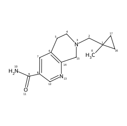 CC1(CN2CCc3cc(C(N)=O)cnc3C2)CC1